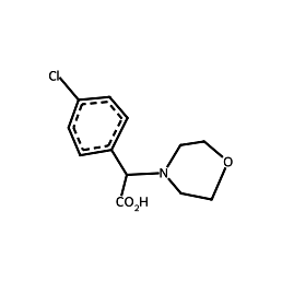 O=C(O)C(c1ccc(Cl)cc1)N1CCOCC1